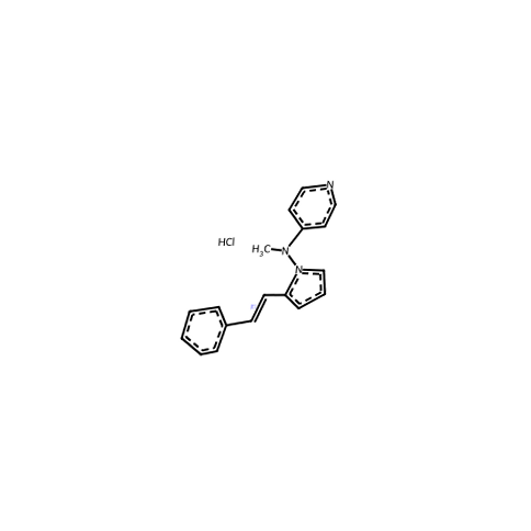 CN(c1ccncc1)n1cccc1/C=C/c1ccccc1.Cl